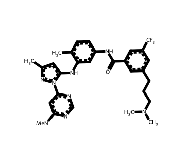 CNc1cc(-n2nc(C)cc2Nc2cc(NC(=O)c3cc(CCCN(C)C)cc(C(F)(F)F)c3)ccc2C)ncn1